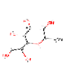 COC1OC(C(O)CO)C(O)C(O)C1O